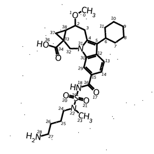 COC1Cc2c(C3CCCCC3)c3ccc(C(=O)NS(=O)(=O)N(C)CCCCN)cc3n2CC2(C(=O)O)CC12